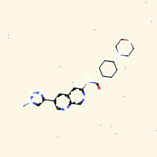 Cn1cc(-c2cnc3cnc(NC(=O)[C@H]4CC[C@H](N5CCOCC5)CC4)cc3c2)nn1